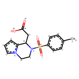 Cc1ccc(S(=O)(=O)N2CCn3cccc3C2CC(=O)O)cc1